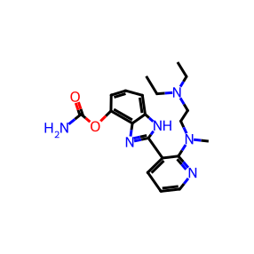 CCN(CC)CCN(C)c1ncccc1-c1nc2c(OC(N)=O)cccc2[nH]1